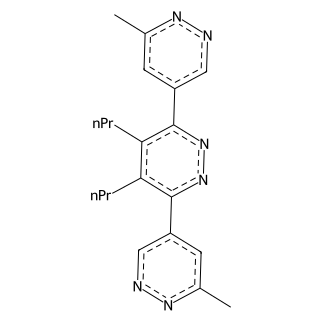 CCCc1c(-c2cnnc(C)c2)nnc(-c2cnnc(C)c2)c1CCC